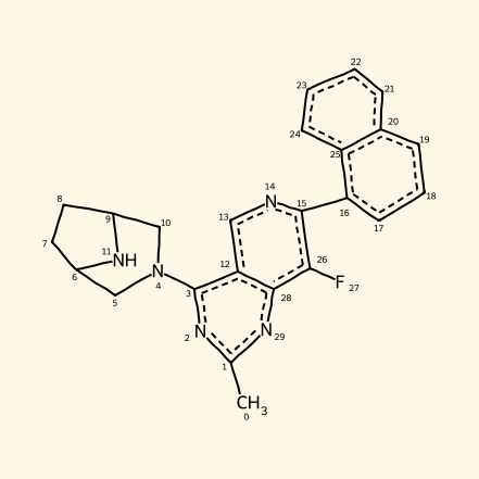 Cc1nc(N2CC3CCC(C2)N3)c2cnc(-c3cccc4ccccc34)c(F)c2n1